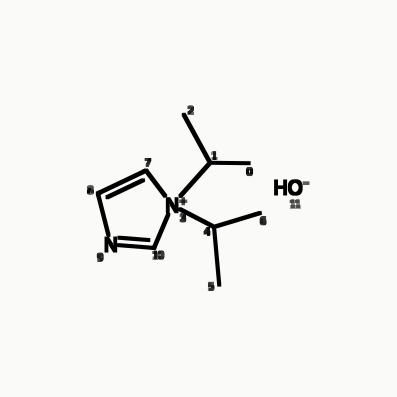 CC(C)[N+]1(C(C)C)C=CN=C1.[OH-]